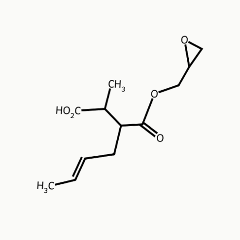 CC=CCC(C(=O)OCC1CO1)C(C)C(=O)O